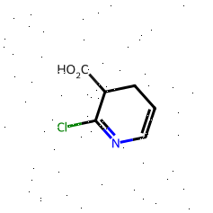 O=C(O)C1CC=CN=C1Cl